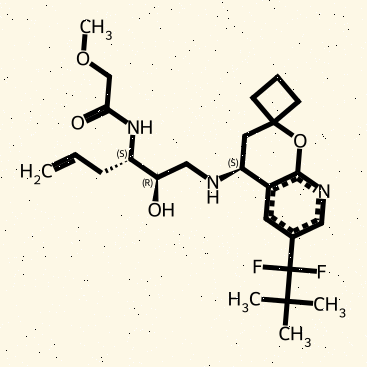 C=CC[C@H](NC(=O)COC)[C@H](O)CN[C@H]1CC2(CCC2)Oc2ncc(C(F)(F)C(C)(C)C)cc21